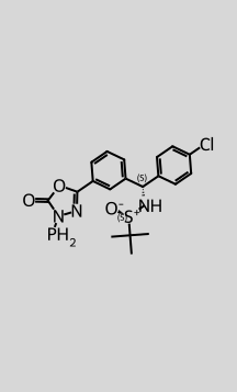 CC(C)(C)[S@@+]([O-])N[C@@H](c1ccc(Cl)cc1)c1cccc(-c2nn(P)c(=O)o2)c1